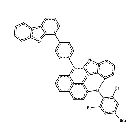 CCc1cc(C(C)(C)C)cc(CC)c1B1c2cccc3nc4n(-c5ccc(-c6cccc7c6oc6ccccc67)cc5)c5cccc6ccc1c(c65)n4c23